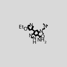 CCOc1cncc(-c2cc(N(C)CCN(C)C)c(C(N)=O)c3[nH]cnc23)c1